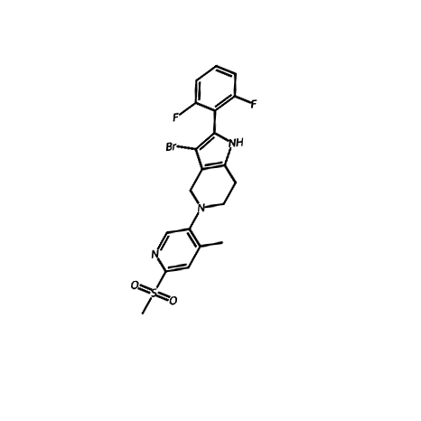 Cc1cc(S(C)(=O)=O)ncc1N1CCc2[nH]c(-c3c(F)cccc3F)c(Br)c2C1